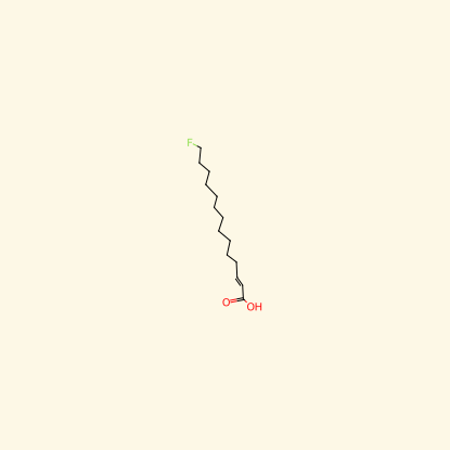 O=C(O)C=CCCCCCCCCCCCF